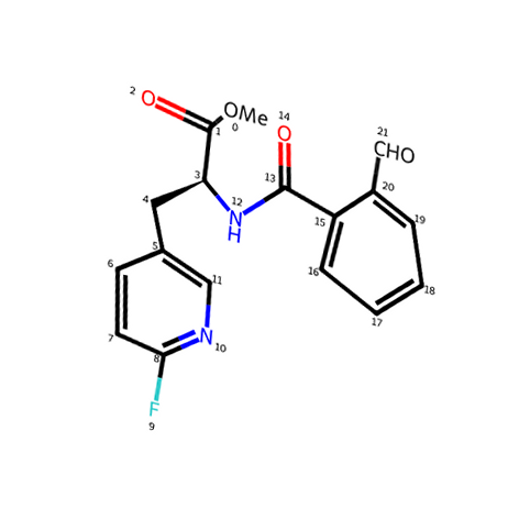 COC(=O)[C@H](Cc1ccc(F)nc1)NC(=O)c1ccccc1C=O